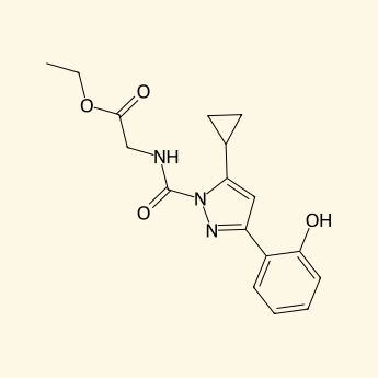 CCOC(=O)CNC(=O)n1nc(-c2ccccc2O)cc1C1CC1